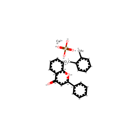 CC(=O)Oc1ccccc1C(=O)O.O=S(=O)([O-])[O-].O=c1cc(-c2ccccc2)oc2ccccc12.[Ca+2]